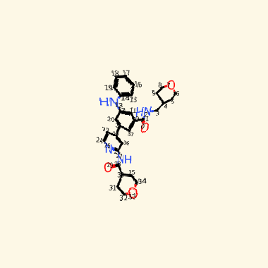 O=C(NCC1CCOCC1)c1cc(Nc2ccccc2)cc(-c2ccnc(NC(=O)C3CCOCC3)c2)c1